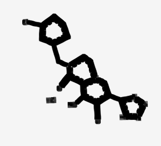 Cl.O=c1c(-c2nnn[nH]2)cn2ccn(Cc3cccc(Cl)c3)c(=O)c2c1O